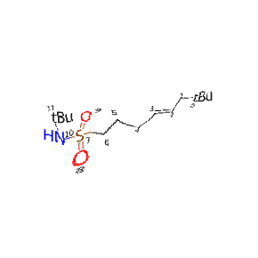 CC(C)(C)C/C=C/CCCS(=O)(=O)NC(C)(C)C